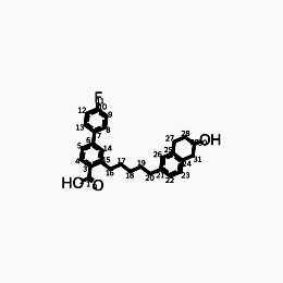 O=C(O)c1ccc(-c2ccc(F)cc2)cc1CCCCCc1ccc2c(c1)CCC(O)C2